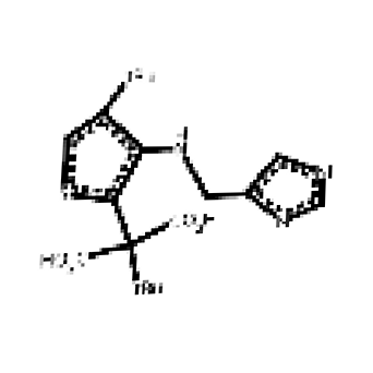 CC(C)(C)c1csc(C(C(=O)O)(C(=O)O)C(C)(C)C)c1NCc1c[nH]cn1